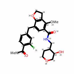 CNC(=O)c1ccc(Cc2cc(C(=O)NCC3CCOC[C@@H]3O)c(OC)c3c2OCC3)cc1F